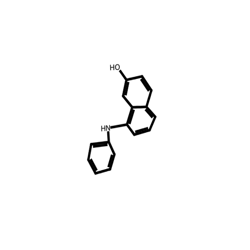 Oc1ccc2cccc(Nc3ccccc3)c2c1